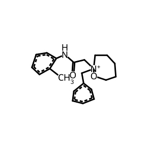 Cc1ccccc1NC(=O)C[N+]1(Cc2ccccc2)CCCCCO1